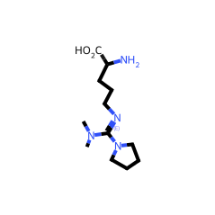 CN(C)/C(=N\CCCC(N)C(=O)O)N1CCCC1